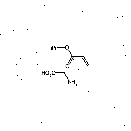 C=CC(=O)OCCC.NCC(=O)O